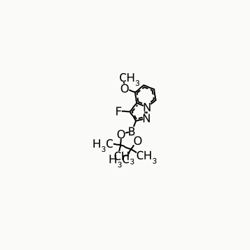 COc1cccn2nc(B3OC(C)(C)C(C)(C)O3)c(F)c12